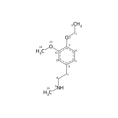 CCOc1ccc(CCNC)cc1OC